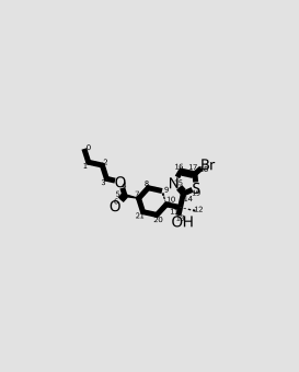 CCCCOC(=O)[C@H]1CC[C@H]([C@](C)(O)c2ncc(Br)s2)CC1